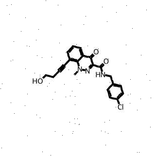 Cn1nc(C(=O)NCc2ccc(Cl)cc2)c(=O)c2cccc(C#CCCO)c21